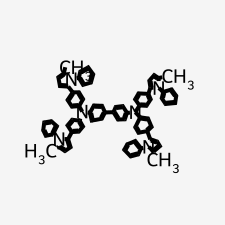 Cc1ccc(-c2ccc(N(c3ccc(-c4ccc(N(c5ccc(-c6ccc(C)n6-c6ccccc6)cc5)c5ccc(-c6ccc(C)n6-c6ccccc6)cc5)cc4)cc3)c3ccc(-c4ccc(C)n4-c4ccccc4)cc3)cc2)n1-c1ccccc1